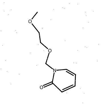 COCCOCn1ccccc1=O